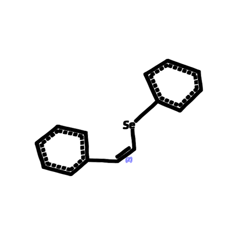 C(=C/c1ccccc1)/[Se]c1ccccc1